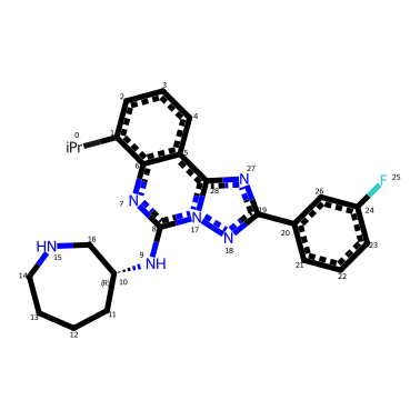 CC(C)c1cccc2c1nc(N[C@@H]1CCCCNC1)n1nc(-c3cccc(F)c3)nc21